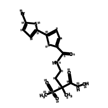 CC(CCNC(=O)c1ccc(-c2ccc(Br)s2)s1)(C(=O)NO)S(C)(=O)=O